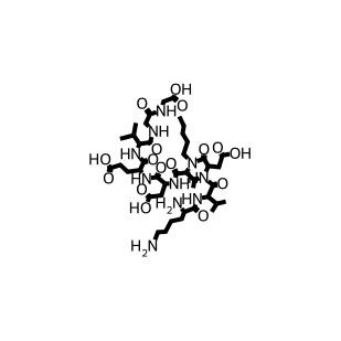 CCCCCN(C(=O)C(CC(=O)O)NC(=O)C(NC(=O)C(N)CCCCN)C(C)C)C(C(=O)NC(CC(=O)O)C(=O)NC(CCC(=O)O)C(=O)NC(C(=O)NCC(=O)NCC(=O)O)C(C)C)C(C)C